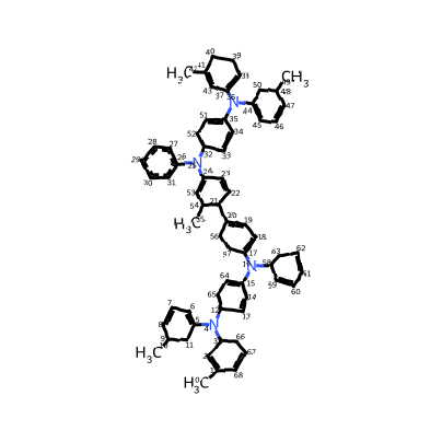 CC1=CC(N(C2=CC=CC(C)C2)C2C=CC(N(C3=CC=C(C4C=CC(N(c5ccccc5)C5C=CC(N(C6=CCCC(C)=C6)C6=CC=CC(C)C6)=CC5)=CC4C)CC3)C3C=CC=CC3)=CC2)CC=C1